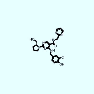 O=C(NCc1ncccn1)c1cnc(N2CCC[C@H]2CO)nc1NCc1ccc(O)c(Cl)c1